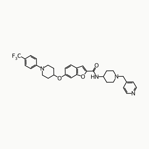 O=C(NC1CCN(Cc2ccncc2)CC1)c1cc2ccc(OC3CCN(c4ccc(C(F)(F)F)cc4)CC3)cc2o1